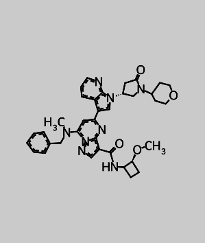 CO[C@H]1CCC1NC(=O)c1cnn2c(N(C)Cc3ccccc3)cc(-c3cn([C@@H]4CC(=O)N(C5CCOCC5)C4)c4ncccc34)nc12